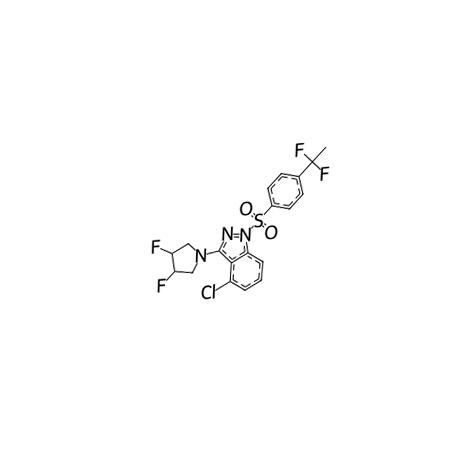 CC(F)(F)c1ccc(S(=O)(=O)n2nc(N3CC(F)C(F)C3)c3c(Cl)cccc32)cc1